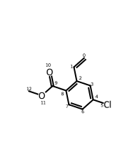 C=Cc1cc(Cl)ccc1C(=O)OC